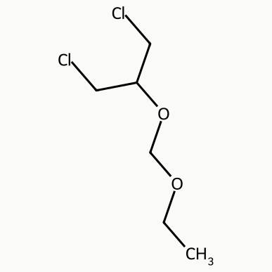 CCOCOC(CCl)CCl